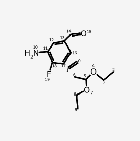 C=C.CCOC(C)OCC.Nc1cc(C=O)ccc1F